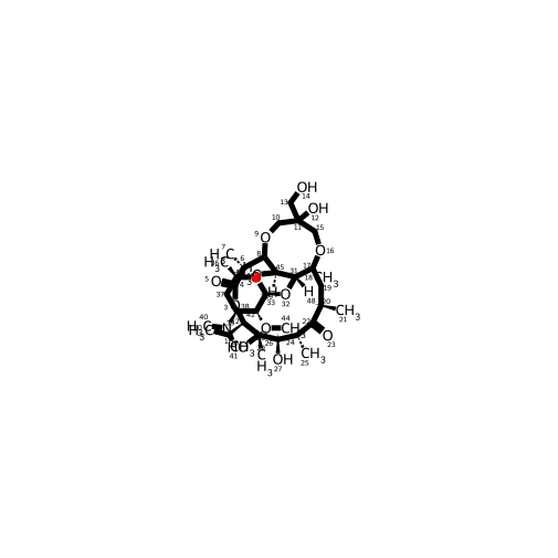 CC[C@H]1OC(=O)[C@H](C)[C@H]2OCC(O)(CO)CO[C@@](C)(C[C@@H](C)C(=O)[C@H](C)[C@@H](O)[C@]1(C)O)[C@H](O[C@@H]1O[C@H](C)C[C@H](N(C)C)[C@H]1OC)[C@H]2C